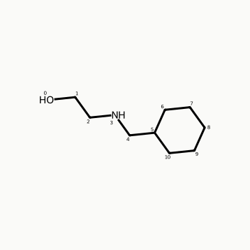 OCCNCC1CCCCC1